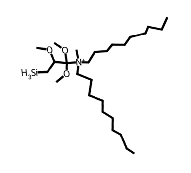 CCCCCCCCCC[N+](C)(CCCCCCCCCC)C(OC)(OC)C(C[SiH3])OC